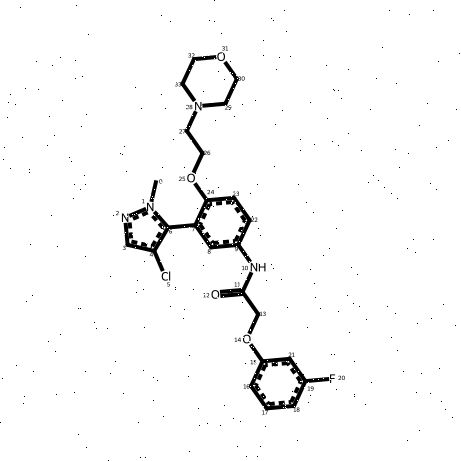 Cn1ncc(Cl)c1-c1cc(NC(=O)COc2cccc(F)c2)ccc1OCCN1CCOCC1